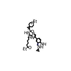 CCC(=O)CCCCC[C@H](NC(=O)[C@H]1CC12CCN(CC)CC2)c1ncc(C2=C/C(=C/NC3CC3)C(=N)C=C2)[nH]1